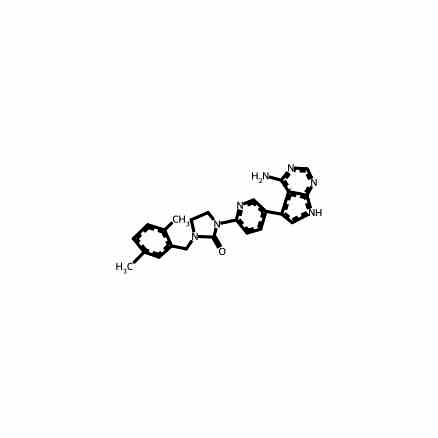 Cc1ccc(C)c(CN2CCN(c3ccc(-c4c[nH]c5ncnc(N)c45)cn3)C2=O)c1